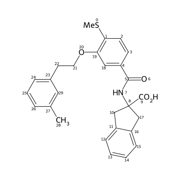 CSc1ccc(C(=O)NC2(C(=O)O)Cc3ccccc3C2)cc1OCCc1cccc(C)c1